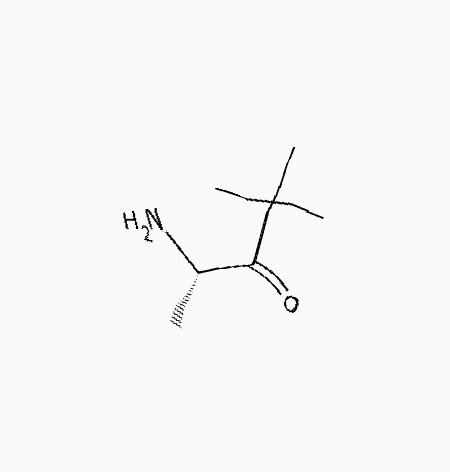 C[C@H](N)C(=O)C(C)(C)C